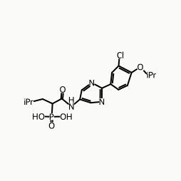 CC(C)CC(C(=O)Nc1cnc(-c2ccc(OC(C)C)c(Cl)c2)nc1)P(=O)(O)O